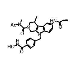 C=CC(=O)Nc1ccc2c(c1)c1c(n2Cc2ccc(C(=O)NO)cc2)CN(C(=O)N(C)C(C)=O)CC1C